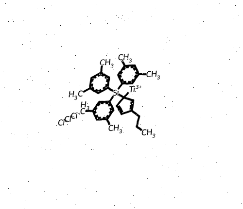 CCCC1=C[C]([Ti+3])([Si](c2cc(C)cc(C)c2)(c2cc(C)cc(C)c2)c2cc(C)cc(C)c2)C=C1.[Cl-].[Cl-].[Cl-]